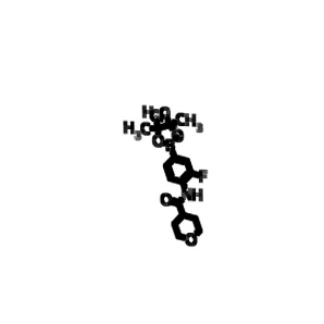 CC1(C)OB(c2ccc(NC(=O)C3CCOCC3)c(F)c2)OC1(C)C